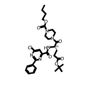 CCCCOC(=O)N1CCN(C(=O)[C@H](CCC(=O)OC(C)(C)C)NC(=O)c2cc(Cl)nc(-c3ccccc3)n2)CC1